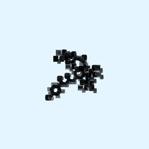 C[C@@H]([C@@H]1O[C@H]1C[C@@H]1OC[C@H](CC(=O)CC(=O)c2ccc(Cl)cc2)[C@@H](O[Si](C)(C)C)[C@@H]1O[Si](C)(C)C)[C@H](C)O[Si](C)(C)C